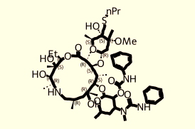 CCCSC[C@]1(O)[C@H](C)O[C@@H](O[C@H]2[C@H](C)[C@@H](OC3OC(C)CC(N(C)C(=O)Nc4ccccc4)C3OC(=O)Nc3ccccc3)[C@](C)(O)C[C@@H](C)CN[C@H](C)[C@@H](O)[C@](C)(O)[C@@H](CC)OC(=O)[C@@H]2C)C[C@@]1(C)OC